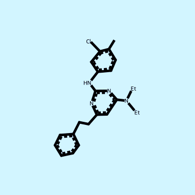 CCN(CC)c1cc(CCc2ccccc2)nc(Nc2ccc(C)c(Cl)c2)n1